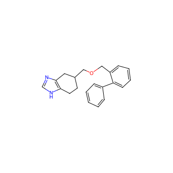 c1ccc(-c2ccccc2COCC2CCc3[nH]cnc3C2)cc1